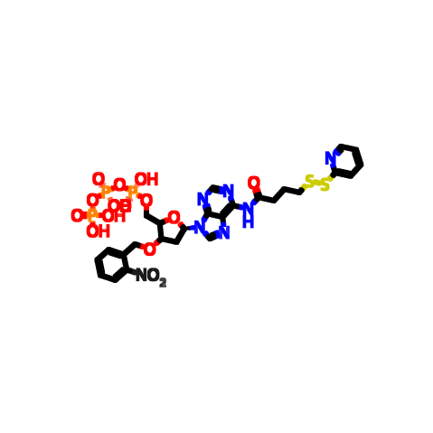 O=C(CCCSSc1ccccn1)Nc1ncnc2c1ncn2[C@H]1CC(OCc2ccccc2[N+](=O)[O-])C(COP(=O)(O)OP(=O)(O)OP(=O)(O)O)O1